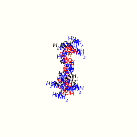 CC[C@H](C)[C@H](NC(=O)[C@H](CC(C)C)NC(=O)[C@H](CCCNC(=N)N)NC(=O)[C@H](C)NC(=O)[C@H](CCCNC(=N)N)NC(=O)[C@H](CO)NC(=O)[C@H](CCCCN)NC(=O)[C@@H](N)Cc1c[nH]cn1)C(=O)N[C@@H](Cc1ccccc1)C(=O)N[C@@H](Cc1c[nH]cn1)C(=O)N[C@@H](CCC(=O)O)C(=O)NCC(=O)N1CCC[C@H]1C(=O)N[C@@H](CS)C(=O)NCC(=O)N[C@H](C(=O)N[C@@H](CCCNC(=N)N)C(=O)N[C@@H](CCCNC(=N)N)C(=O)O)C(C)C